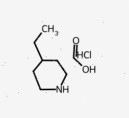 CCC1CCNCC1.Cl.O=CO